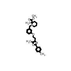 COC(=O)C1(C)CCCCN1Cc1cccc(OCCc2nc(-c3ccc(C)cc3)oc2C)c1